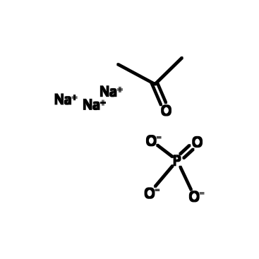 CC(C)=O.O=P([O-])([O-])[O-].[Na+].[Na+].[Na+]